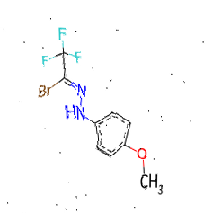 COc1ccc(NN=C(Br)C(F)(F)F)cc1